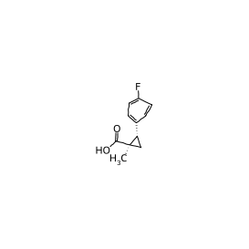 C[C@@]1(C(=O)O)C[C@H]1c1ccc(F)cc1